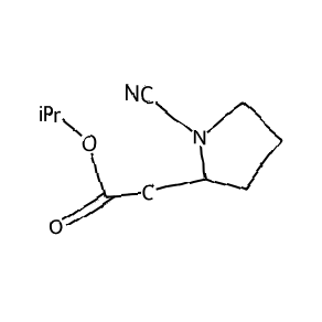 CC(C)OC(=O)CC1CCCN1C#N